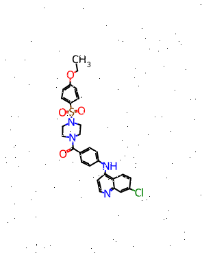 CCOc1ccc(S(=O)(=O)N2CCN(C(=O)c3ccc(Nc4ccnc5cc(Cl)ccc45)cc3)CC2)cc1